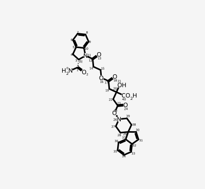 NC(=O)[C@@H]1Cc2ccccc2N1C(=O)CCOC(=O)CC(O)(CC(=O)ON1CCC2(C=Cc3ccccc32)CC1)C(=O)O